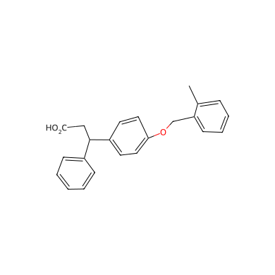 Cc1ccccc1COc1ccc(C(CC(=O)O)c2ccccc2)cc1